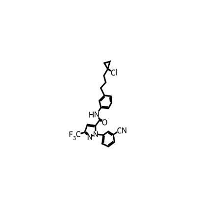 N#Cc1cccc(-n2nc(C(F)(F)F)cc2C(=O)Nc2cccc(CCCC3(Cl)CC3)c2)c1